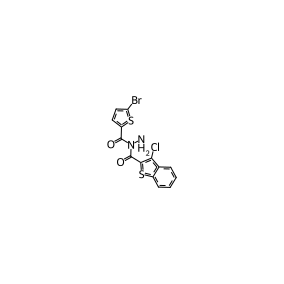 NN(C(=O)c1ccc(Br)s1)C(=O)c1sc2ccccc2c1Cl